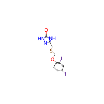 O=c1[nH]nc(CSCOc2ccc(I)cc2I)[nH]1